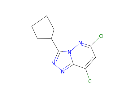 Clc1cc(Cl)c2nnc(C3CCCC3)n2n1